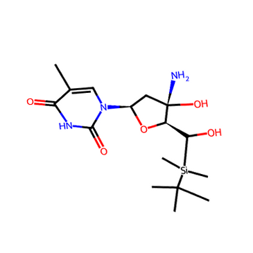 Cc1cn([C@H]2C[C@](N)(O)[C@@H](C(O)[Si](C)(C)C(C)(C)C)O2)c(=O)[nH]c1=O